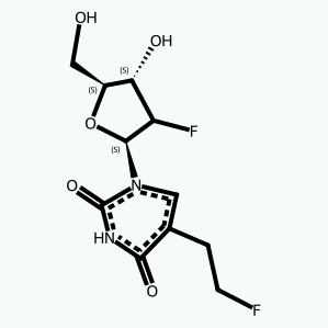 O=c1[nH]c(=O)n([C@H]2O[C@@H](CO)[C@H](O)C2F)cc1CCF